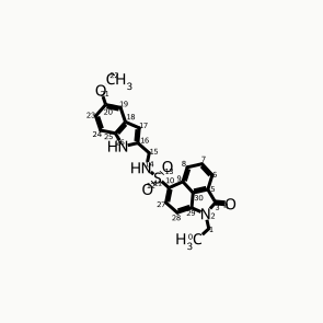 CCN1C(=O)c2cccc3c(S(=O)(=O)NCc4cc5cc(OC)ccc5[nH]4)ccc1c23